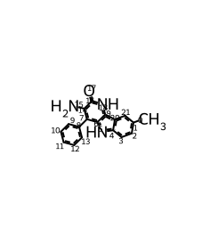 Cc1ccc2[nH]c3c(-c4ccccc4)c(N)c(=O)[nH]c3c2c1